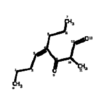 CCCC=C(CCC)C(=O)C(C)C=O